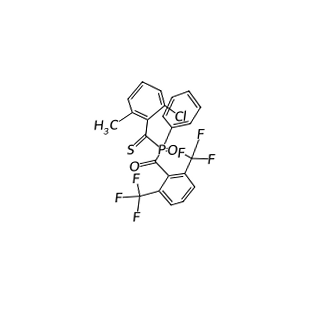 Cc1cccc(Cl)c1C(=S)P(=O)(C(=O)c1c(C(F)(F)F)cccc1C(F)(F)F)c1ccccc1